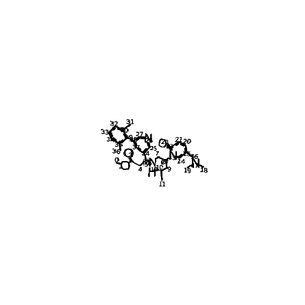 COC(=O)C[C@H](NC[C@H](CC(C)C)n1cc(CN(C)C)ccc1=O)c1cncc(-c2c(C)cccc2C)c1